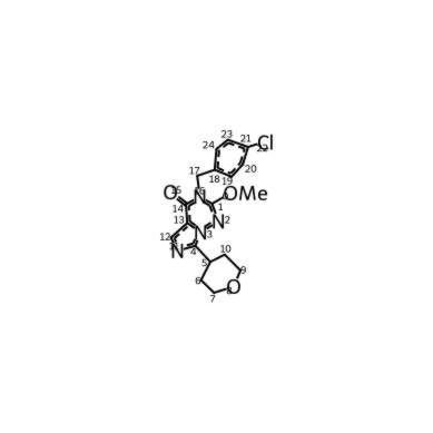 COc1nn2c(C3CCOCC3)ncc2c(=O)n1Cc1ccc(Cl)cc1